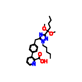 CCCCCn1nc(C(CCCC)(OC)OC)nc1Cc1ccc(-c2cccnc2C(=O)O)cc1